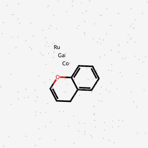 C1=COc2ccccc2C1.[Co].[Ga].[Ru]